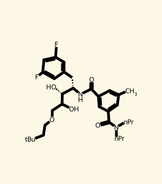 CCCN(CCC)C(=O)c1cc(C)cc(C(=O)N[C@@H](Cc2cc(F)cc(F)c2)[C@@H](O)C(O)COCCC(C)(C)C)c1